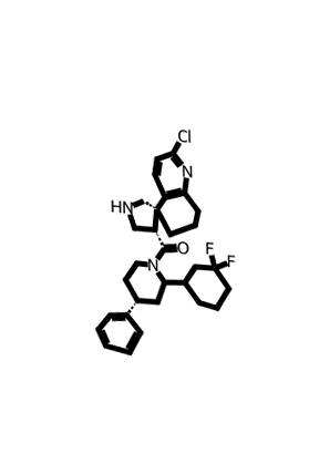 O=C([C@@H]1CNC[C@]12CCCc1nc(Cl)ccc12)N1CC[C@@H](c2ccccc2)CC1C1CCCC(F)(F)C1